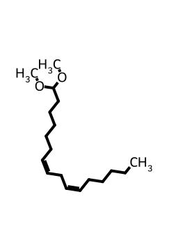 CCCCC/C=C\C/C=C\CCCCCC(OC)OC